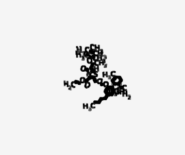 C=CCOC(=O)C1=C(COCOc2cc(CCCCC)cc(O)c2[C@@H]2C=C(C)CC[C@H]2C(=C)C)S[C@@H]2[C@@H]([C@@H](C)O[Si](C)(C)C(C)(C)C)C(=O)N12